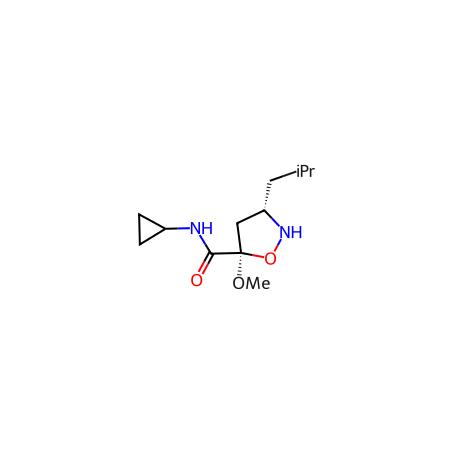 CO[C@]1(C(=O)NC2CC2)C[C@H](CC(C)C)NO1